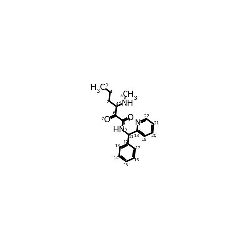 CCCC(NC)C(=O)C(=O)NC(c1ccccc1)c1ccccn1